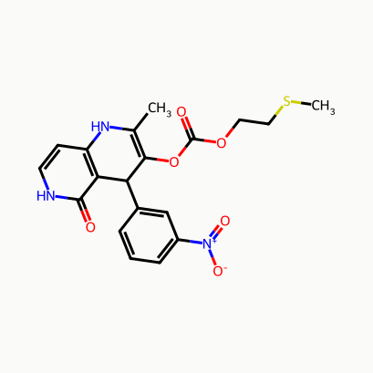 CSCCOC(=O)OC1=C(C)Nc2cc[nH]c(=O)c2C1c1cccc([N+](=O)[O-])c1